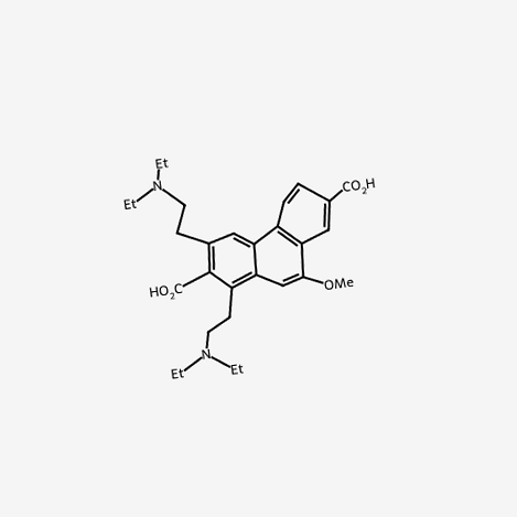 CCN(CC)CCc1cc2c(cc(OC)c3cc(C(=O)O)ccc32)c(CCN(CC)CC)c1C(=O)O